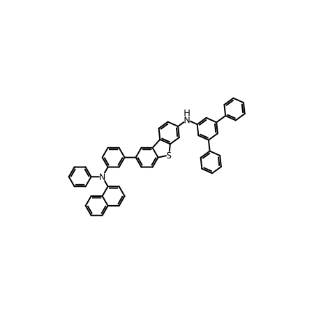 c1ccc(-c2cc(Nc3ccc4c(c3)sc3ccc(-c5cccc(N(c6ccccc6)c6cccc7ccccc67)c5)cc34)cc(-c3ccccc3)c2)cc1